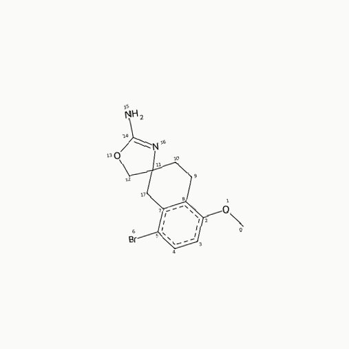 COc1ccc(Br)c2c1CCC1(COC(N)=N1)C2